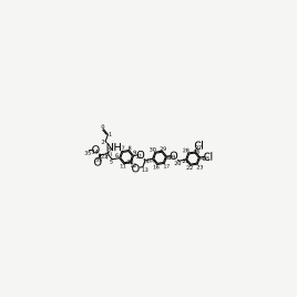 C=CCN[C@@H](Cc1ccc2c(c1)OCC(c1ccc(OCc3ccc(Cl)c(Cl)c3)cc1)O2)C(=O)OC